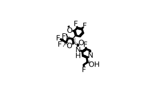 COc1c([C@H]2[C@H](C(=O)Nc3cc([C@@H](O)CF)ncc3F)O[C@@](C)(C(F)(F)F)[C@H]2C)ccc(F)c1F